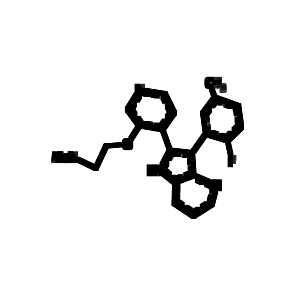 CNCCOc1cnccc1-c1[nH]c2cccnc2c1-c1cc(C)ccc1F